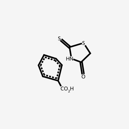 O=C(O)c1ccccc1.O=C1CSC(=S)N1